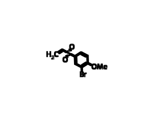 C=CS(=O)(=O)c1ccc(OC)c(Br)c1